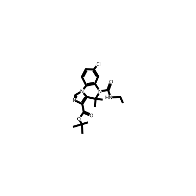 CCNC(=O)N1c2cc(Cl)ccc2-n2cnc(C(=O)OC(C)(C)C)c2C1(C)C